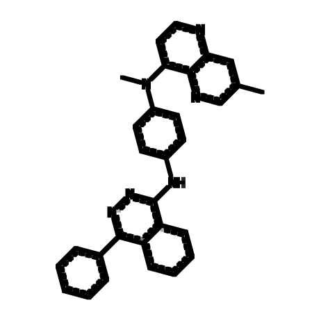 Cc1cnc2c(N(C)c3ccc(Nc4nnc(-c5ccccc5)c5ccccc45)cc3)ccnc2c1